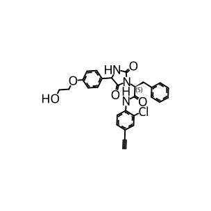 C#Cc1ccc(NC(=O)[C@H](Cc2ccccc2)N2C(=O)NC(c3ccc(OCCO)cc3)C2=O)c(Cl)c1